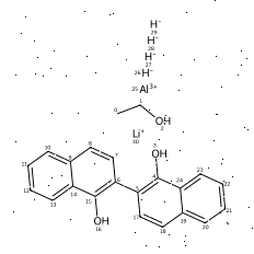 CCO.Oc1c(-c2ccc3ccccc3c2O)ccc2ccccc12.[Al+3].[H-].[H-].[H-].[H-].[Li+]